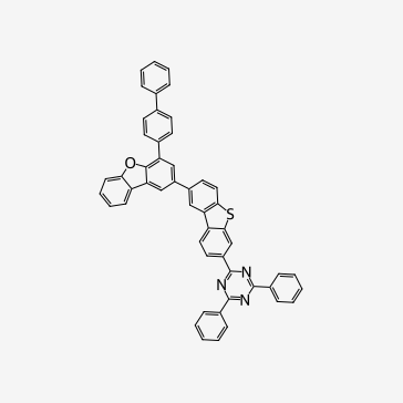 c1ccc(-c2ccc(-c3cc(-c4ccc5sc6cc(-c7nc(-c8ccccc8)nc(-c8ccccc8)n7)ccc6c5c4)cc4c3oc3ccccc34)cc2)cc1